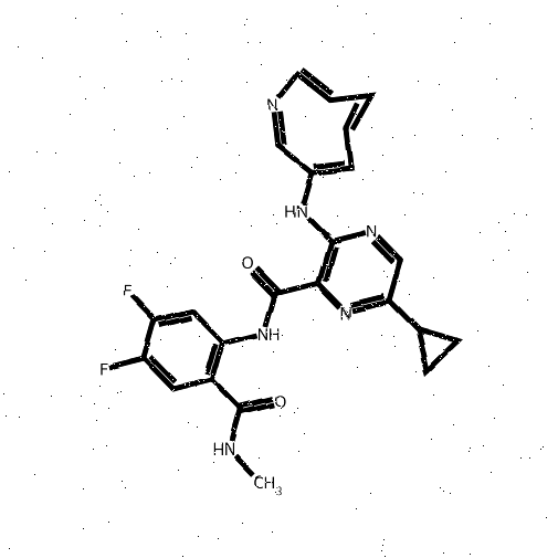 CNC(=O)c1cc(F)c(F)cc1NC(=O)c1nc(C2CC2)cnc1NC1=C/C=C/C=C/N=C\1